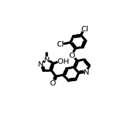 Cn1ncc(C(=O)c2ccc3nccc(Oc4ccc(Cl)cc4Cl)c3c2)c1O